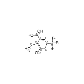 O=C(O)C1=CC(C(F)(F)F)CC(Cl)=C1CO